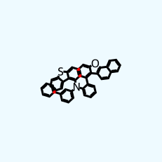 c1ccc(-c2cccc(N(c3ccccc3-c3cccc4oc5c6ccccc6ccc5c34)c3cccc4sc5ccccc5c34)c2)cc1